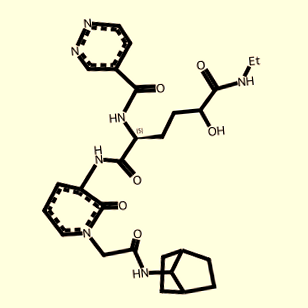 CCNC(=O)C(O)CC[C@H](NC(=O)c1ccnnc1)C(=O)Nc1cccn(CC(=O)NC2C3CCC2CC3)c1=O